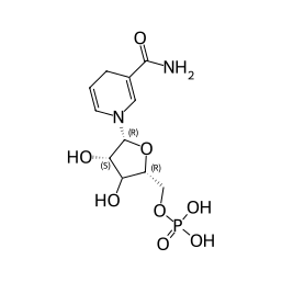 NC(=O)C1=CN([C@@H]2O[C@H](COP(=O)(O)O)C(O)[C@@H]2O)C=CC1